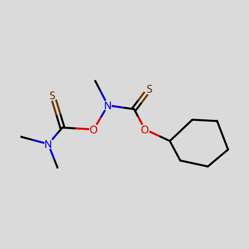 CN(C)C(=S)ON(C)C(=S)OC1CCCCC1